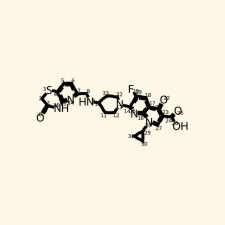 O=C1CSc2ccc(CNC3CCN(c4nc5c(cc4F)c(=O)c(C(=O)O)cn5C4CC4)CC3)nc2N1